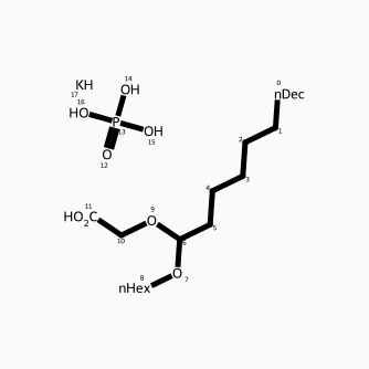 CCCCCCCCCCCCCCCC(OCCCCCC)OCC(=O)O.O=P(O)(O)O.[KH]